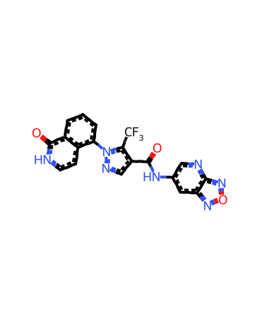 O=C(Nc1cnc2nonc2c1)c1cnn(-c2cccc3c(=O)[nH]ccc23)c1C(F)(F)F